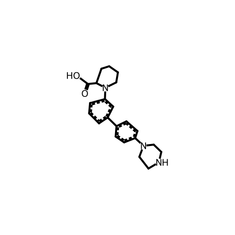 O=C(O)C1CCCCN1c1cccc(-c2ccc(N3CCNCC3)cc2)c1